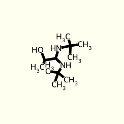 CC(O)C(NC(C)(C)C)NC(C)(C)C